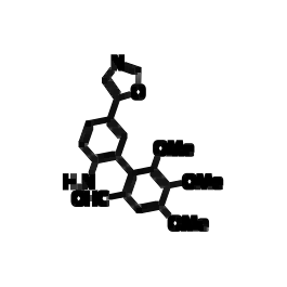 COc1cc(C=O)c(-c2cc(-c3cnco3)ccc2N)c(OC)c1OC